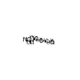 N#CC12CC3CC1C(OC2=O)C3OCCOCCOCC1CO1